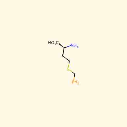 N[C@@H](CCSCP)C(=O)O